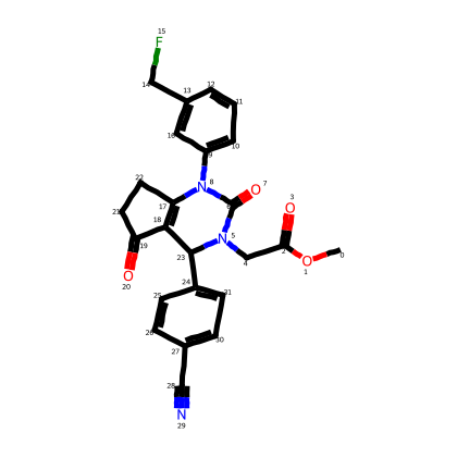 COC(=O)CN1C(=O)N(c2cccc(CF)c2)C2=C(C(=O)CC2)C1c1ccc(C#N)cc1